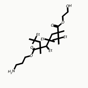 CCC(C(C)(CC)CC(C)(C(=O)OCCO)C(C)(C)CC)C(C)(CC(C)(C)CC)C(=O)OCCCN